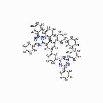 c1ccc(-c2nc(-c3ccccc3)nc(-c3cccc(-c4cccc(-c5cccc(-c6cccc(-c7nc(-c8ccccc8)nc(-c8ccccc8-c8ccccc8)n7)c6)c5)c4)c3)n2)cc1